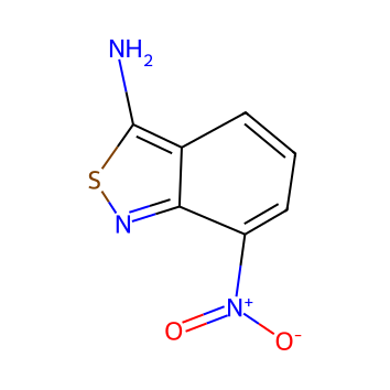 Nc1snc2c([N+](=O)[O-])cccc12